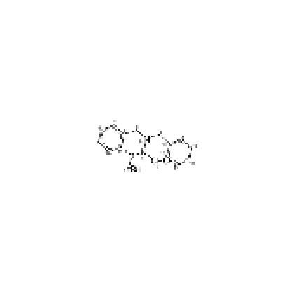 CC(C)(C)ON(C=O)N(Cc1ccccc1)Cc1ccccc1